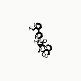 CN(C(=O)C1=C(C=O)CCCN1CC(=O)Nc1ccc(-c2cccnc2CF)cn1)C1CC1